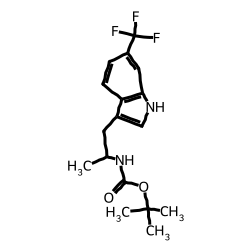 CC(Cc1c[nH]c2cc(C(F)(F)F)ccc12)NC(=O)OC(C)(C)C